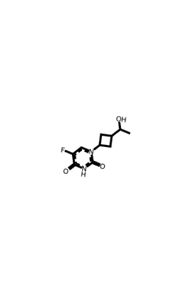 CC(O)C1CC(n2cc(F)c(=O)[nH]c2=O)C1